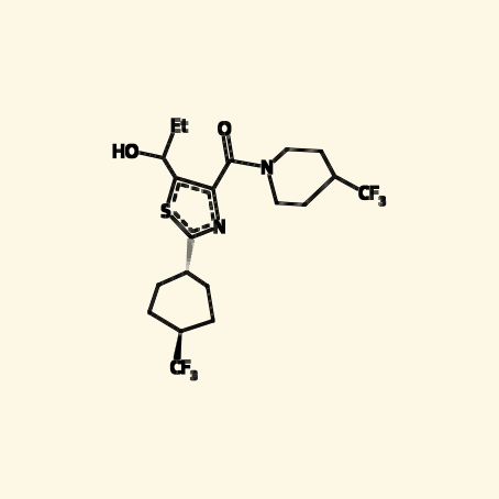 CCC(O)c1sc([C@H]2CC[C@H](C(F)(F)F)CC2)nc1C(=O)N1CCC(C(F)(F)F)CC1